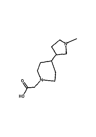 CN1CCC(C2CCN(CC(=O)O)CC2)C1